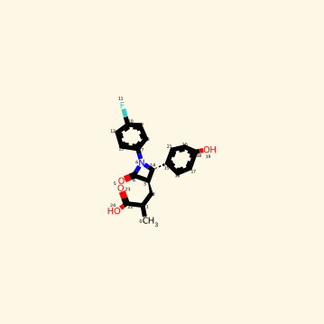 CC(C[C@H]1C(=O)N(c2ccc(F)cc2)[C@@H]1c1ccc(O)cc1)C(=O)O